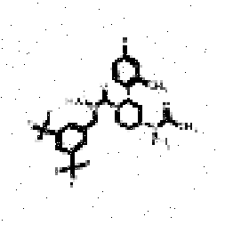 CC(=O)N(C)[C@H]1CCN(C(=O)N(C)Cc2cc(C(F)(F)F)cc(C(F)(F)F)c2)[C@@H](c2ccc(F)cc2C)C1